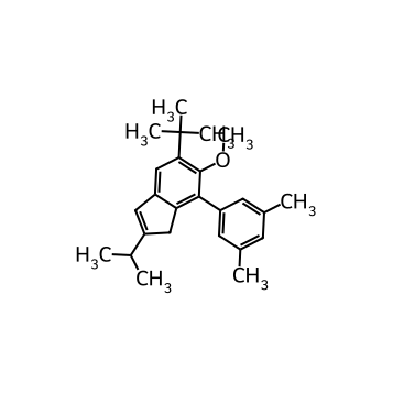 COc1c(C(C)(C)C)cc2c(c1-c1cc(C)cc(C)c1)CC(C(C)C)=C2